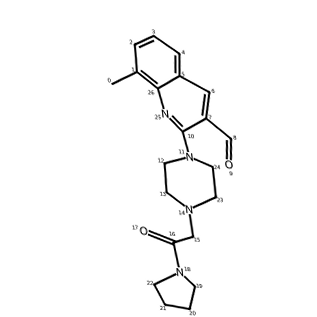 Cc1cccc2cc(C=O)c(N3CCN(CC(=O)N4CCCC4)CC3)nc12